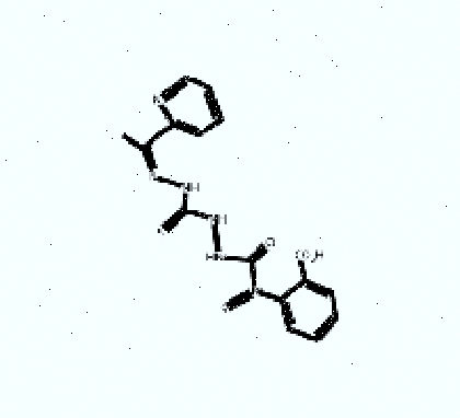 CC(=NNC(=S)NNC(=O)[N+](=S)c1ccccc1C(=O)O)c1ccccn1